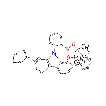 CC1(C)OB(c2ccccc2-n2c3cc(-c4ccccc4)ccc3c3ccc(-c4ccccc4)cc32)OC1(C)C